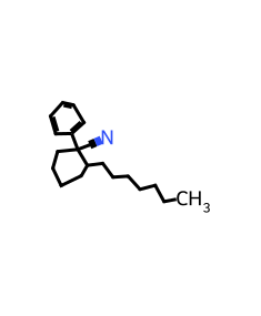 CCCCCCCC1CCCCC1(C#N)c1ccccc1